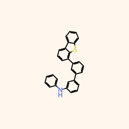 c1ccc(Nc2cccc(-c3cccc(-c4cccc5c4sc4ccccc45)c3)c2)cc1